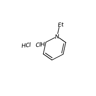 CCN1C=CC=CC1.Cl.Cl